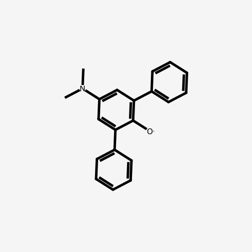 CN(C)c1cc(-c2ccccc2)c([O])c(-c2ccccc2)c1